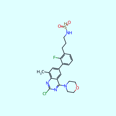 Cc1cc(-c2cccc(CCCN[SH](=O)=O)c2F)cc2c(N3CCOCC3)nc(Cl)nc12